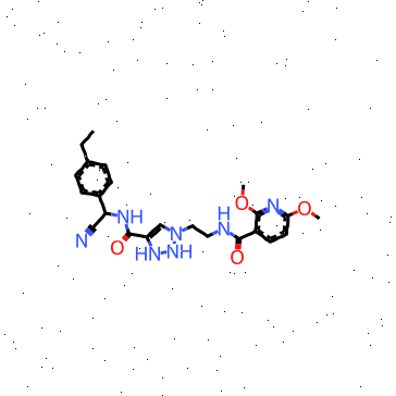 CCc1ccc(C(C#N)NC(=O)C2=CN(CCNC(=O)c3ccc(OC)nc3OC)NN2)cc1